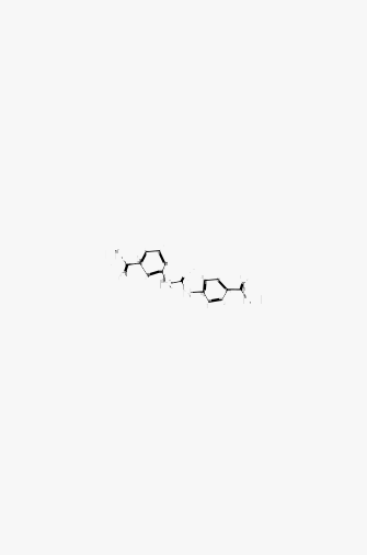 NC(=O)c1ccc(NC(=S)Nc2cccc(C(N)=O)c2)cc1